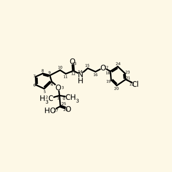 CC(C)(Oc1ccccc1CCC(=O)NCCOc1ccc(Cl)cc1)C(=O)O